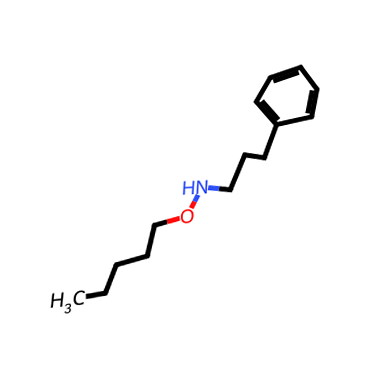 CCCCCONCCCc1ccccc1